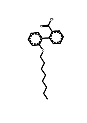 CCCCCCCCOc1ccccc1-c1ccccc1C(=O)O